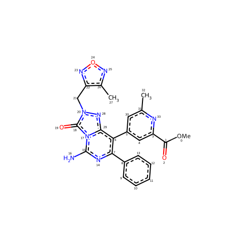 COC(=O)c1cc(-c2c(-c3ccccc3)nc(N)n3c(=O)n(Cc4nonc4C)nc23)cc(C)n1